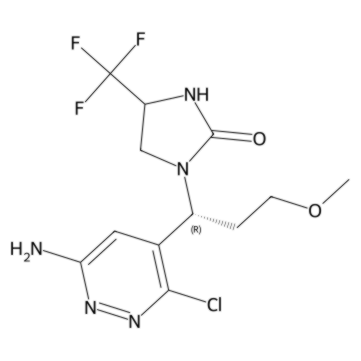 COCC[C@H](c1cc(N)nnc1Cl)N1CC(C(F)(F)F)NC1=O